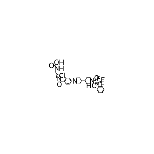 O=C(O)NCC1CN(C(=O)c2ccc(N3CCC(C4CCN(C(=O)[C@](O)(c5ccccc5)C(F)(F)F)CC4)CC3)cc2Cl)C1